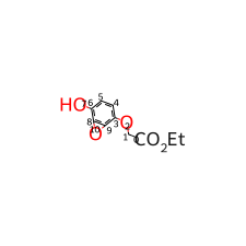 CCOC(=O)COc1ccc(O)c2c1O2